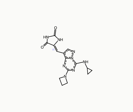 O=C1NC(=O)/C(=C/c2cnn3c(NC4CC4)nc(N4CCC4)nc23)N1